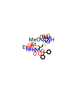 CCOP(=O)(NC1C(=O)N2C(C(=O)OC(c3ccccc3)c3ccccc3)=C(C=CSc3n[nH]c(=O)c(=O)n3CC(OC)OC)CSC12)OCC